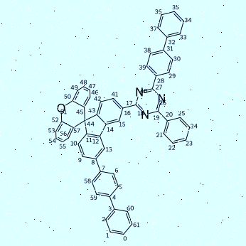 c1ccc(-c2ccc(-c3ccc4c(c3)-c3cc(-c5nc(-c6ccccc6)nc(-c6ccc(-c7ccccc7)cc6)n5)ccc3C43c4ccccc4Oc4ccccc43)cc2)cc1